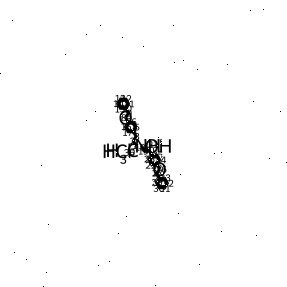 C[C@H](CCc1ccc(OCc2ccccc2)cc1)NC[C@H](O)c1ccc(OCc2ccccc2)cc1.Cl